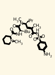 CC[C@H](C)[C@H](NC(=O)[C@H]1CCCCN1C)C(=O)N(C)[C@H](/C=C(\C)C(=O)NS(=O)(=O)c1ccc(N)cc1)C(C)C